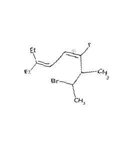 CCC(=C/C=C(/F)C(C)C(C)Br)CC